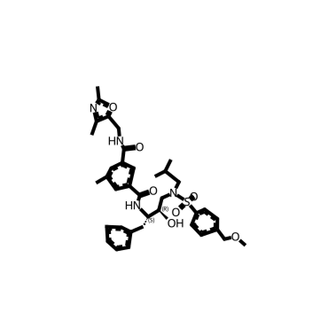 COCc1ccc(S(=O)(=O)N(CC(C)C)C[C@@H](O)[C@H](Cc2ccccc2)NC(=O)c2cc(C)cc(C(=O)NCc3oc(C)nc3C)c2)cc1